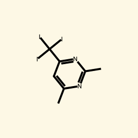 Cc1cc(C(I)(I)I)nc(C)n1